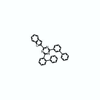 c1ccc(-c2cccc(-c3nc(-c4cc5ccccc5o4)nc(-c4ccccc4-c4ccccc4)n3)c2)cc1